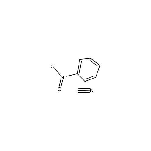 C#N.O=[N+]([O-])c1ccccc1